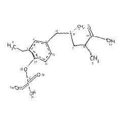 Cc1cc(C[C@H](C)CC(C)C(=O)O)ccc1OS(=O)(=O)O